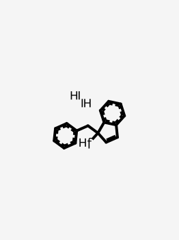 I.I.[Hf][C]1(Cc2ccccc2)C=Cc2ccccc21